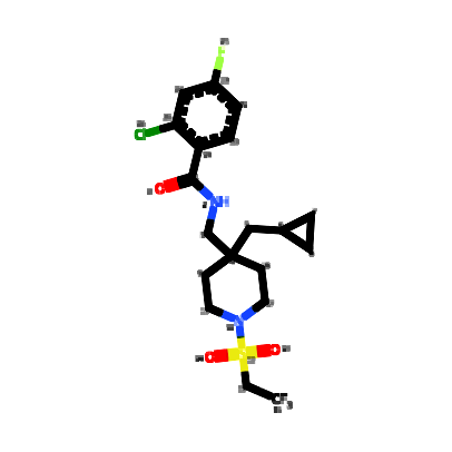 O=C(NCC1(CC2CC2)CCN(S(=O)(=O)CC(F)(F)F)CC1)c1ccc(F)cc1Cl